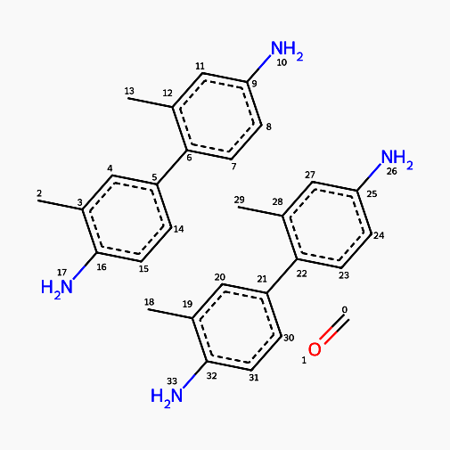 C=O.Cc1cc(-c2ccc(N)cc2C)ccc1N.Cc1cc(-c2ccc(N)cc2C)ccc1N